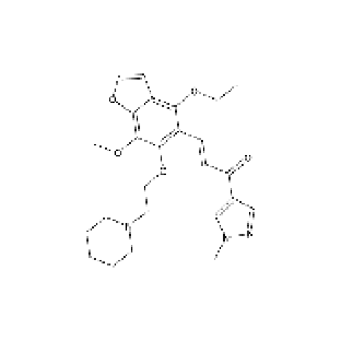 CCOc1c(C=CC(=O)c2cnn(C)c2)c(OCCN2CCCCC2)c(OC)c2occc12